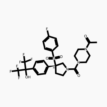 CC(=O)N1CCN(C(=O)N2CC[C@](c3ccc(C(O)(C(F)(F)F)C(F)(F)F)cc3)(S(=O)(=O)c3ccc(F)cc3)C2)CC1